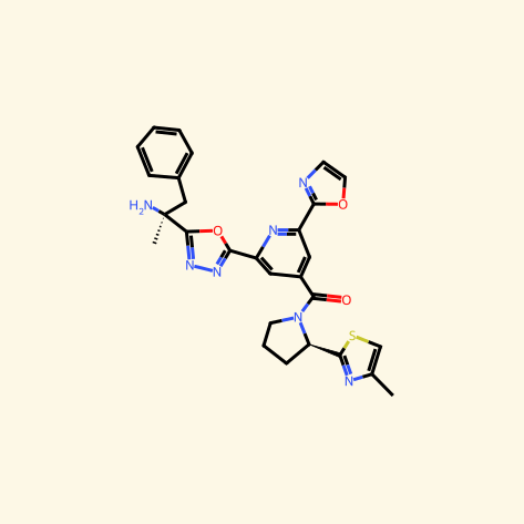 Cc1csc([C@H]2CCCN2C(=O)c2cc(-c3ncco3)nc(-c3nnc([C@@](C)(N)Cc4ccccc4)o3)c2)n1